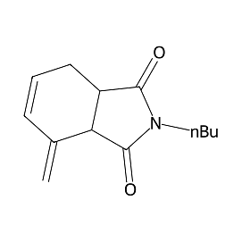 C=C1C=CCC2C(=O)N(CCCC)C(=O)C12